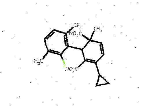 Cc1ccc(C(F)(F)F)c(C2C(C(=O)O)=C(C3CC3)C=CC2(C)C(=O)O)c1F